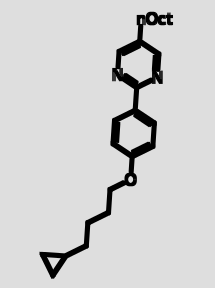 CCCCCCCCc1cnc(-c2ccc(OCCCCC3CC3)cc2)nc1